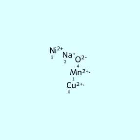 [Cu+2].[Mn+2].[Na+].[Ni+2].[O-2]